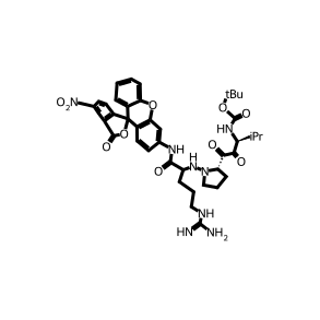 CC(C)[C@H](NC(=O)OC(C)(C)C)C(=O)C(=O)[C@@H]1CCCN1NC(CCCNC(=N)N)C(=O)Nc1ccc2c(c1)Oc1ccccc1C21OC(=O)c2cc([N+](=O)[O-])ccc21